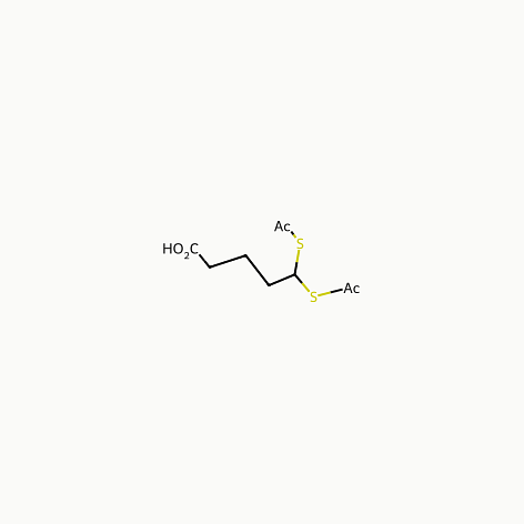 CC(=O)SC(CCCC(=O)O)SC(C)=O